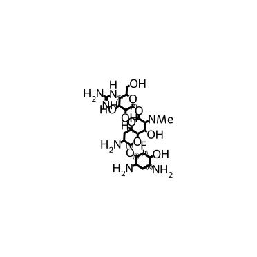 CNC1C(O[C@H]2OC(CO)[C@@H](NC(=N)N)C(O)C2O)O[C@H]2CC(N)[C@@H](O[C@@H]3C(N)C[C@@H](N)C(O)[C@H]3F)OC2C1O